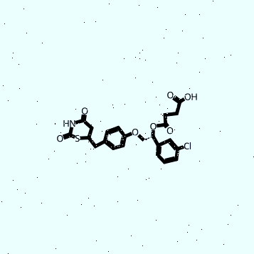 O=C(O)CCC(=O)O[C@@H](COc1ccc(CC2CC(=O)NC(=O)S2)cc1)c1cccc(Cl)c1